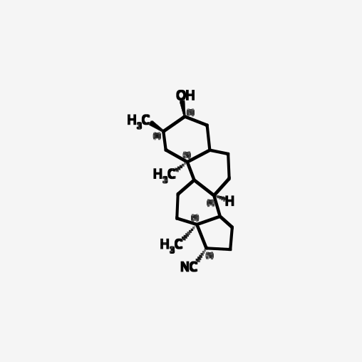 C[C@@H]1C[C@@]2(C)C(CC[C@@H]3C2CC[C@@]2(C)C3CC[C@@H]2C#N)C[C@@H]1O